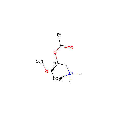 CCC(=O)O[C@H](CC(=O)O)C[N+](C)(C)C.O=[N+]([O-])[O-]